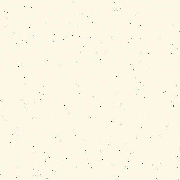 COc1ccc(CS(=O)(=O)CC2CN(C(c3ccc(Cl)cc3)c3ccc(Cl)cc3)C2)cc1